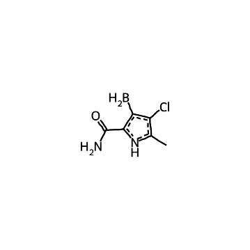 Bc1c(C(N)=O)[nH]c(C)c1Cl